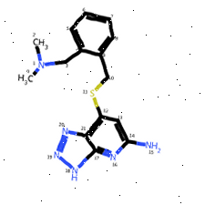 CN(C)Cc1ccccc1CSc1cc(N)nc2[nH]nnc12